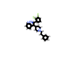 Fc1cccc(-c2[nH]c3ccccc3c2C2CCN(CCc3ccccc3)CC2)c1F